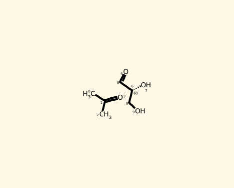 CC(C)=O.O=C[C@H](O)CO